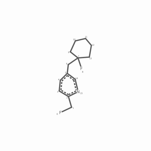 FCc1ccc(CC2(F)CCCCC2)cn1